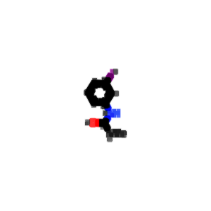 CNC(=O)Nc1cccc(I)c1